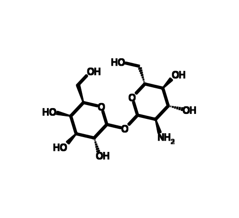 N[C@H]1C(OC2O[C@H](CO)[C@H](O)[C@H](O)[C@H]2O)O[C@H](CO)[C@@H](O)[C@@H]1O